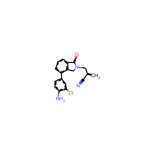 C=C(C#N)CN1Cc2c(cccc2-c2ccc(N)c(Cl)c2)C1=O